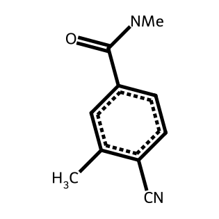 CNC(=O)c1ccc(C#N)c(C)c1